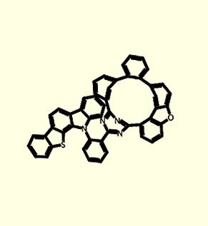 c1ccc(-n2c3ccccc3c3ccc4c5ccccc5sc4c32)c(-c2nc3nc(n2)c2cccc4oc5ccc(cc5c42)c2ccccc2c2cccc3c2)c1